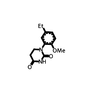 CCc1ccc(OC)c(N2CCC(=O)NC2=O)c1